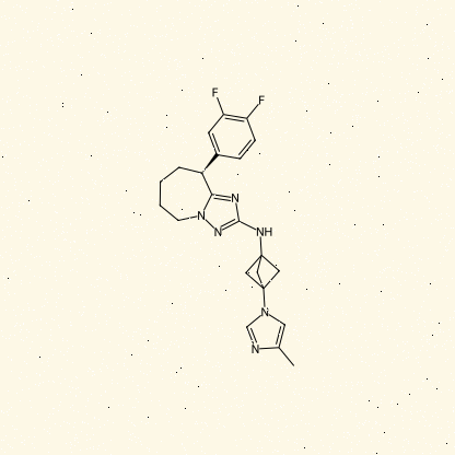 Cc1cn(C23CC(Nc4nc5n(n4)CCCC[C@H]5c4ccc(F)c(F)c4)(C2)C3)cn1